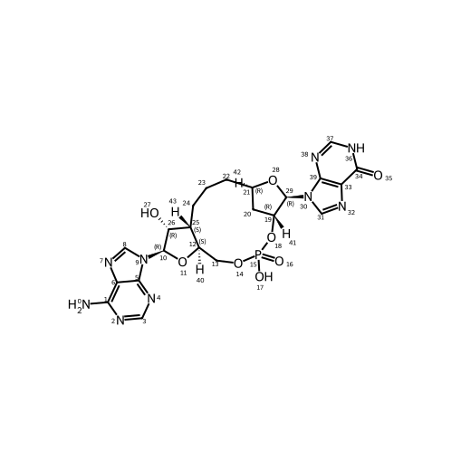 Nc1ncnc2c1ncn2[C@@H]1O[C@@H]2COP(=O)(O)O[C@@H]3C[C@@H](CCC[C@H]2[C@H]1O)O[C@H]3n1cnc2c(=O)[nH]cnc21